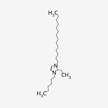 CCCCCCCCCCCCCCN1C=CN(CCCCCC)C1CC